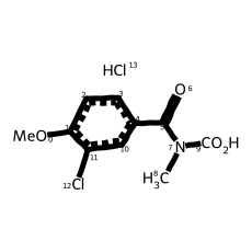 COc1ccc(C(=O)N(C)C(=O)O)cc1Cl.Cl